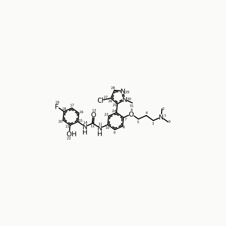 CN(C)CCCOc1ccc(NC(=O)Nc2ccc(F)cc2O)cc1-c1c(Cl)cnn1C